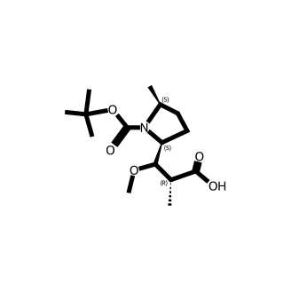 COC([C@@H](C)C(=O)O)[C@@H]1CC[C@H](C)N1C(=O)OC(C)(C)C